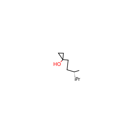 CC(C)[C@@H](C)CCC1(O)CC1